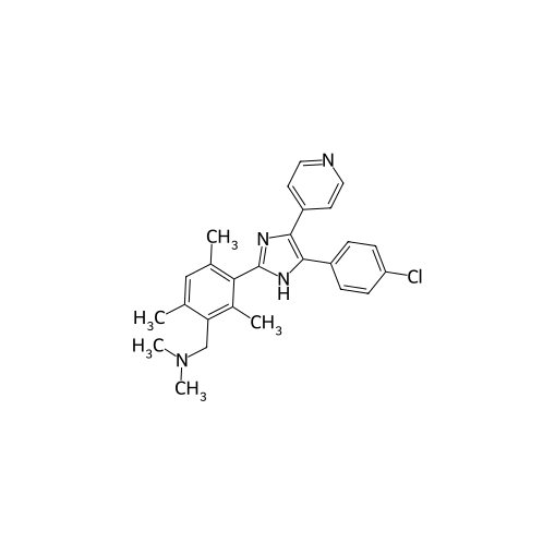 Cc1cc(C)c(-c2nc(-c3ccncc3)c(-c3ccc(Cl)cc3)[nH]2)c(C)c1CN(C)C